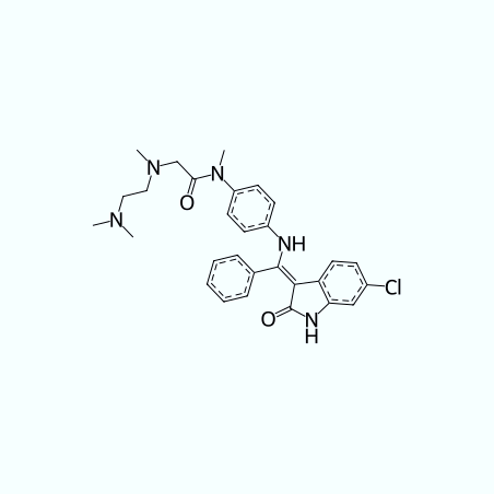 CN(C)CCN(C)CC(=O)N(C)c1ccc(NC(=C2C(=O)Nc3cc(Cl)ccc32)c2ccccc2)cc1